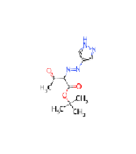 CC(=O)C(N=Nc1cn[nH]c1)C(=O)OC(C)(C)C